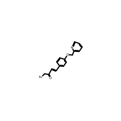 CC(=O)CC(=O)/C=C/c1ccc(OCc2ccccn2)cc1